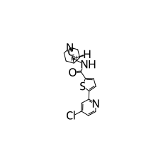 O=C(N[C@H]1CN2CCC1CC2)c1ccc(-c2cc(Cl)ccn2)s1